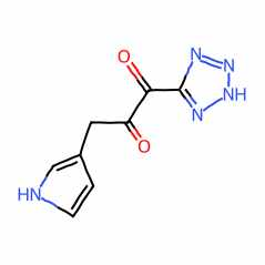 O=C(Cc1cc[nH]c1)C(=O)c1nn[nH]n1